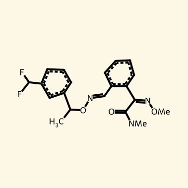 CNC(=O)/C(=N\OC)c1ccccc1/C=N/OC(C)c1cccc(C(F)F)c1